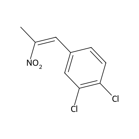 C/C(=C/c1ccc(Cl)c(Cl)c1)[N+](=O)[O-]